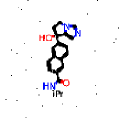 CC(C)NC(=O)c1ccc2cc(C3(O)CCn4cncc43)ccc2c1